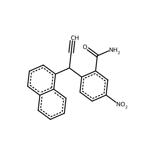 C#CC(c1ccc([N+](=O)[O-])cc1C(N)=O)c1cccc2ccccc12